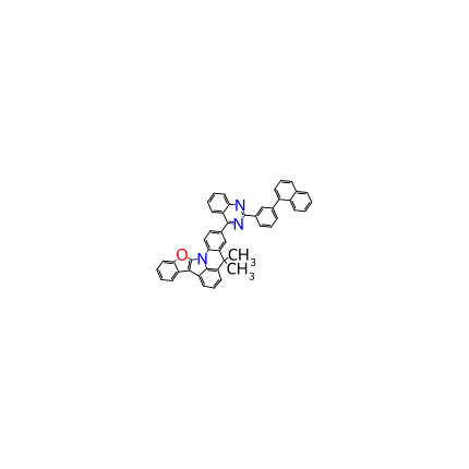 CC1(C)c2cc(-c3nc(-c4cccc(-c5cccc6ccccc56)c4)nc4ccccc34)ccc2-n2c3oc4ccccc4c3c3cccc1c32